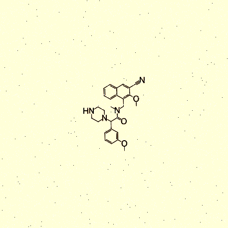 COc1cccc(C(C(=O)N(C)Cc2c(OC)c(C#N)cc3ccccc23)N2CCNCC2)c1